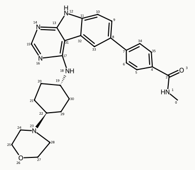 CNC(=O)c1ccc(-c2ccc3[nH]c4ncnc(N[C@H]5CC[C@H](N6CCOCC6)CC5)c4c3c2)cc1